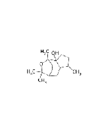 CC1CCC2(O)C1CC1CCC2(C)OC1(C)C